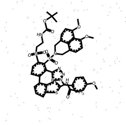 COc1ccc(CN(Cc2ccc(OC)cc2)S(=O)(=O)c2c(S(=O)(=O)CCNC(=O)OC(C)(C)C)ccc(-c3cccc4sc(NC(N)=O)nc34)c2-c2nnn(Cc3ccc(OC)cc3)n2)cc1